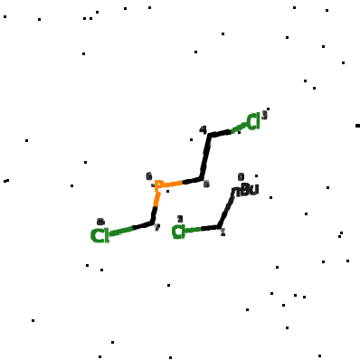 CCCCCCl.ClCC[P]CCl